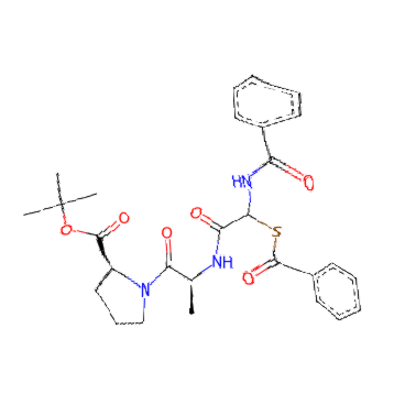 C[C@H](NC(=O)C(NC(=O)c1ccccc1)SC(=O)c1ccccc1)C(=O)N1CCC[C@H]1C(=O)OC(C)(C)C